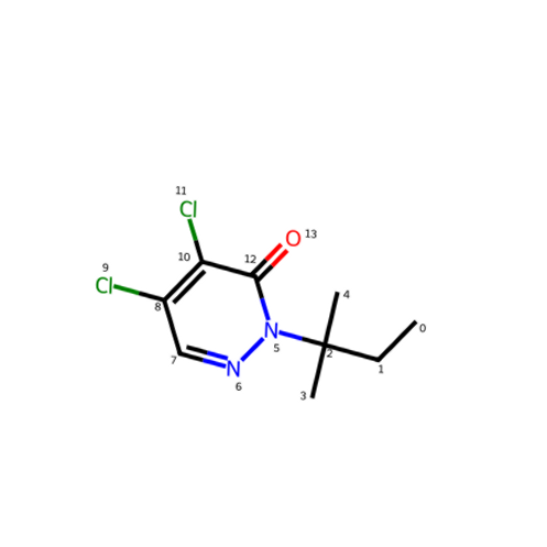 CCC(C)(C)n1ncc(Cl)c(Cl)c1=O